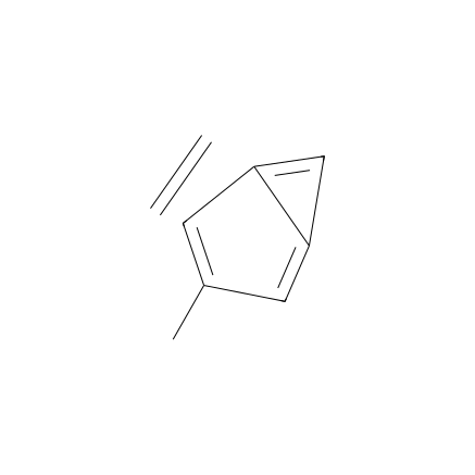 C=C.Cc1cc2cc-2c1